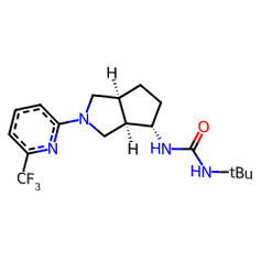 CC(C)(C)NC(=O)N[C@H]1CC[C@@H]2CN(c3cccc(C(F)(F)F)n3)C[C@@H]21